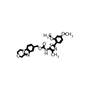 COc1ccc(-c2nc(C)c(NC(=O)OCc3ccc4c(c3)nc3n4CCOC3)s2)c(OC)c1